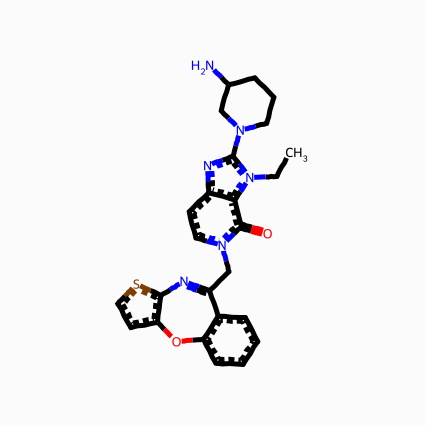 CCn1c(N2CCCC(N)C2)nc2ccn(CC3=Nc4sccc4Oc4ccccc43)c(=O)c21